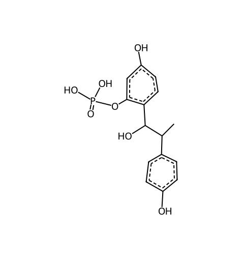 CC(c1ccc(O)cc1)C(O)c1ccc(O)cc1OP(=O)(O)O